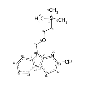 C[Si](C)(C)CCOCn1c2ccccc2c2ccc(Cl)nc21